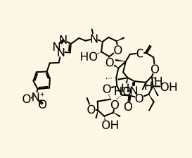 C=C1CC[C@]2(C)C[C@@H](C)/C(=N\O)[C@H](C)[C@@H](OC1)[C@](C)(O)[C@@H](CC)OC(=O)[C@H](C)[C@@H](O[C@H]1C[C@@](C)(OC)[C@@H](O)[C@H](C)O1)[C@H](C)[C@H]2O[C@@H]1O[C@H](C)C[C@H](N(C)CCc2cn(CCc3ccc([N+](=O)[O-])cc3)nn2)[C@H]1O